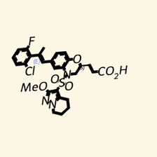 COc1nn2c(c1S(=O)(=O)N1C[C@H](CCC(=O)O)Oc3ccc(/C=C(\C)c4c(F)cccc4Cl)cc31)CCCC2